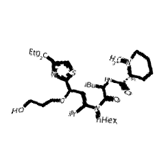 CCCCCCN(C(=O)C(NC(=O)[C@H]1CCCCN1C)C(C)CC)C(CC(OCCCO)c1nc(C(=O)OCC)cs1)C(C)C